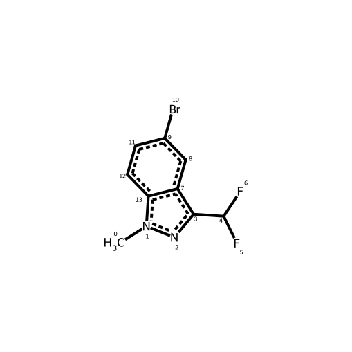 Cn1nc(C(F)F)c2cc(Br)ccc21